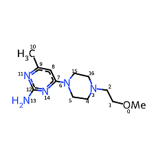 COCCN1CCN(c2cc(C)nc(N)n2)CC1